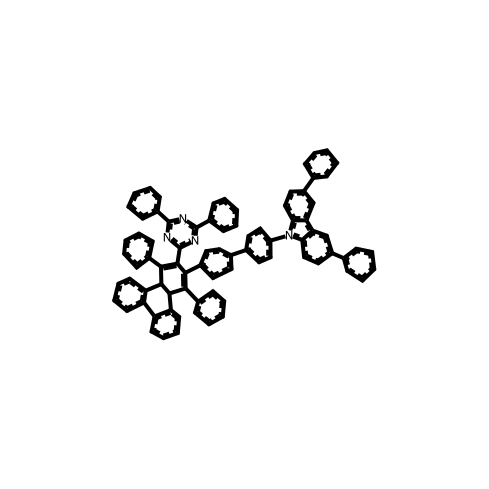 c1ccc(C2=C(c3ccc(-c4ccc(-n5c6ccc(-c7ccccc7)cc6c6cc(-c7ccccc7)ccc65)cc4)cc3)C(c3nc(-c4ccccc4)nc(-c4ccccc4)n3)=C(c3ccccc3)C3c4ccccc4-c4ccccc4C23)cc1